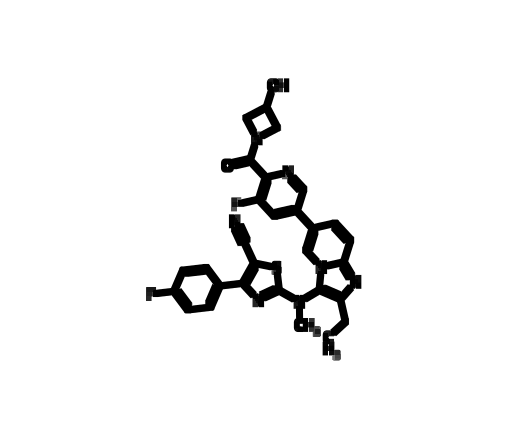 CCc1nc2ccc(-c3cnc(C(=O)N4CC(O)C4)c(F)c3)cn2c1N(C)c1nc(-c2ccc(F)cc2)c(C#N)s1